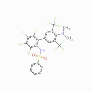 CN(C)c1c(C(F)(F)F)cc(-c2c(F)c(F)c(F)c(F)c2NS(=O)(=O)c2ccccc2)cc1C(F)(F)F